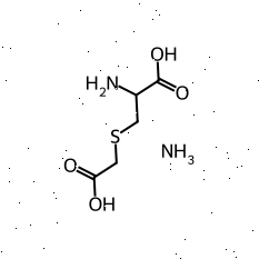 N.NC(CSCC(=O)O)C(=O)O